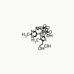 Cc1ncc(C[n+]2csc(CCO)c2C)c(N)n1.Cl.Cl.O=P(O)(O)OP(=O)(O)O